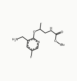 [CH2]C(CNC(=O)OC(C)(C)C)Oc1ncc(F)cc1CN